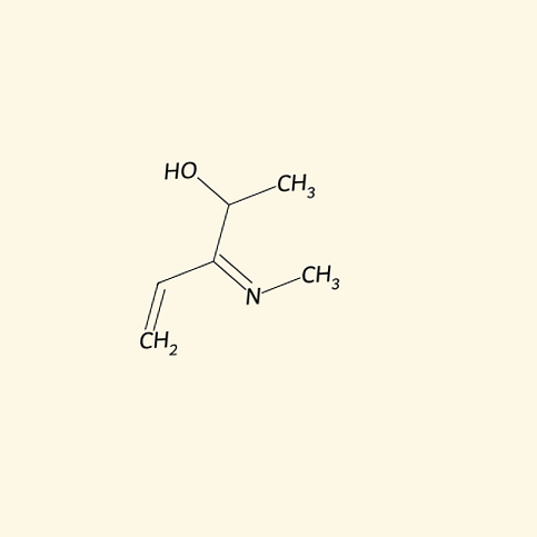 C=CC(=NC)C(C)O